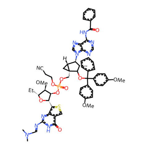 CC[C@H]1O[C@@H](c2scc3c(=O)[nH]c(/N=C/N(C)C)nc23)[C@H](OP(=O)(OCCC#N)OC[C@]23C[C@@H]2[C@@H](n2cnc4c(NC(=O)c5ccccc5)ncnc42)[C@H](C)C3OC(c2ccccc2)(c2ccc(OC)cc2)c2ccc(OC)cc2)[C@@H]1OC